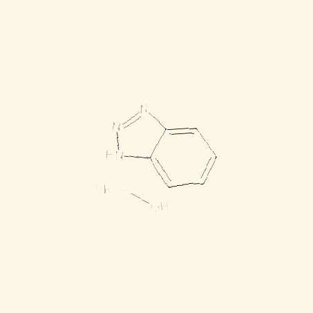 O=S(=O)(O)O.c1ccc2[nH]nnc2c1